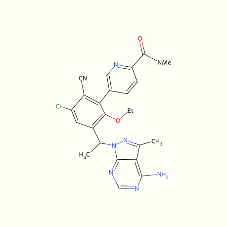 CCOc1c(C(C)n2nc(C)c3c(N)ncnc32)cc(Cl)c(C#N)c1-c1ccc(C(=O)NC)nc1